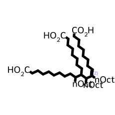 CCCCCCCC/C(=C/CCCCCCCC(=O)O)C(CCCCCCCC)C(CCCCCCCC(=O)O)C(CCCCCCCC)CCCCCCCCC(=O)O